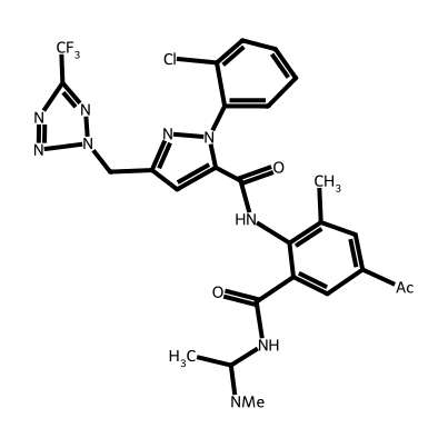 CNC(C)NC(=O)c1cc(C(C)=O)cc(C)c1NC(=O)c1cc(Cn2nnc(C(F)(F)F)n2)nn1-c1ccccc1Cl